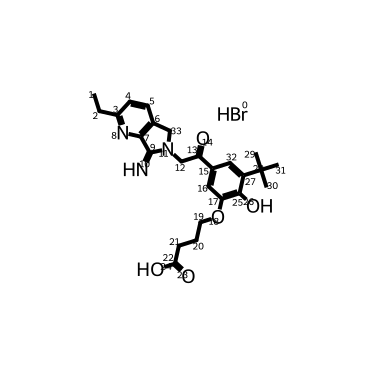 Br.CCc1ccc2c(n1)C(=N)N(CC(=O)c1cc(OCCCC(=O)O)c(O)c(C(C)(C)C)c1)C2